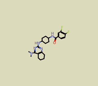 CN(C)c1nc(NC2CCC(NC(=O)c3ccc(F)c(F)c3)CC2)nc2c1CCCC2